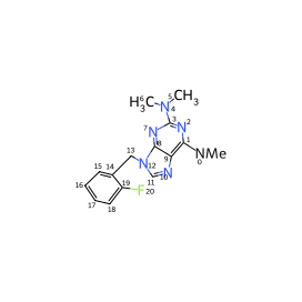 CNc1nc(N(C)C)nc2c1ncn2Cc1ccccc1F